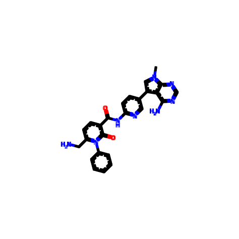 Cn1cc(-c2ccc(NC(=O)c3ccc(CN)n(-c4ccccc4)c3=O)nc2)c2c(N)ncnc21